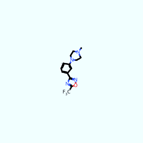 CN1CCN(c2[c]ccc(-c3noc(C(F)(F)F)n3)c2)CC1